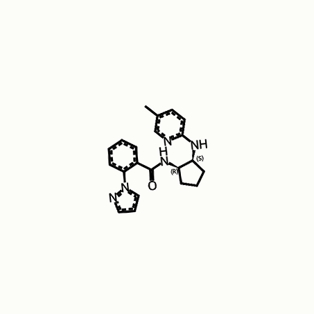 Cc1ccc(N[C@H]2CCC[C@H]2NC(=O)c2ccccc2-n2cccn2)nc1